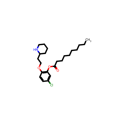 CCCCCCCCCC(=O)Oc1cc(Cl)ccc1OCCC1CCCCN1